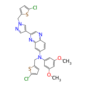 COc1cc(OC)cc(N(Cc2ccc(Cl)s2)c2ccc3ncc(-c4cnn(Cc5ccc(Cl)s5)c4)nc3c2)c1